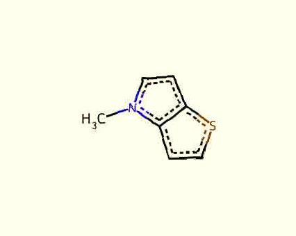 Cn1ccc2sccc21